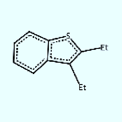 CCc1sc2ccccc2c1CC